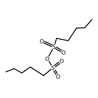 CCCCCS(=O)(=O)OS(=O)(=O)CCCCC